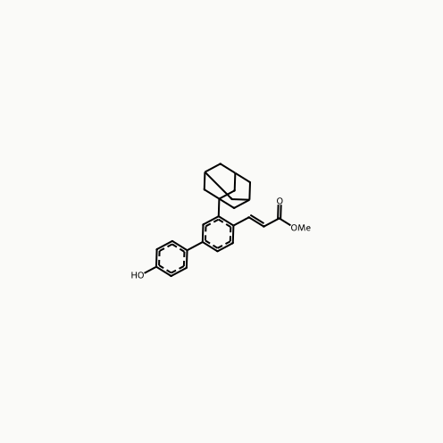 COC(=O)C=Cc1ccc(-c2ccc(O)cc2)cc1C12CC3CC(CC(C3)C1)C2